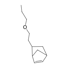 CCCOCCC1CC2C=CC1C2